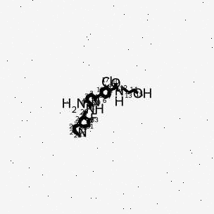 Nc1ccc(-c2ccc(C(=O)NCCCO)c(Cl)c2)nc1NCc1cc2cccnc2cc1F